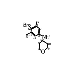 Cc1cc(NC2CCOCC2)cc(C)c1Br